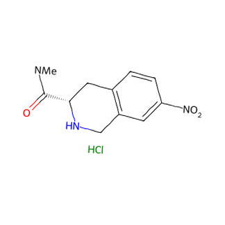 CNC(=O)[C@@H]1Cc2ccc([N+](=O)[O-])cc2CN1.Cl